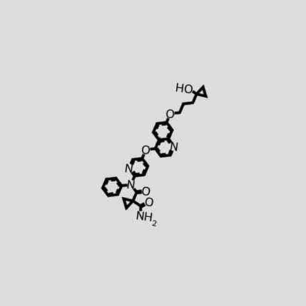 NC(=O)C1(C(=O)N(c2ccccc2)c2ccc(Oc3ccnc4cc(OCCCC5(O)CC5)ccc34)cn2)CC1